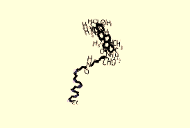 CC/C=C\C/C=C\C/C=C\C/C=C\C/C=C\C/C=C\CCC(=O)NCCCCC(C=O)NC(=O)[C@]12CC[C@@H](C)[C@H](C)[C@H]1C1=CC[C@@H]3[C@@]4(C)C[C@@H](O)[C@H](O)C(C)(C)[C@@H]4CC[C@@]3(C)[C@]1(C)CC2